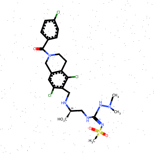 CN(C)N/C(=N/S(C)(=O)=O)NC[C@H](NCc1c(Cl)cc2c(c1Cl)CCN(C(=O)c1ccc(Cl)cc1)C2)C(=O)O